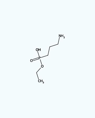 CCOP(=O)(O)CCCN